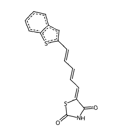 O=C1NC(=O)C(=CC=CC=Cc2cc3ccccc3s2)S1